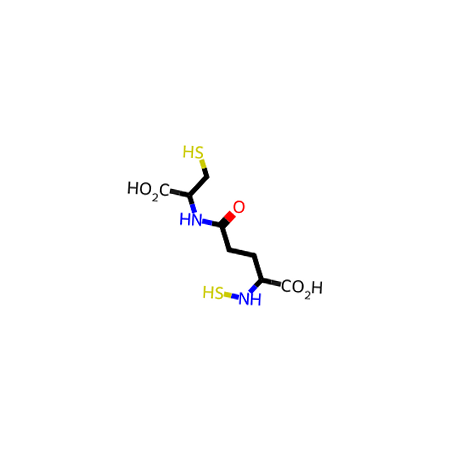 O=C(CCC(NS)C(=O)O)NC(CS)C(=O)O